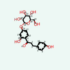 O=C(CCc1ccc(O)cc1)c1ccc(O[C@@H]2O[C@H](CO)[C@@H](O)[C@H](O)[C@H]2O)cc1O